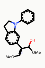 CO/C=C(\c1ccc2c(c1)N(c1ccccc1)CC2)C(O)OC